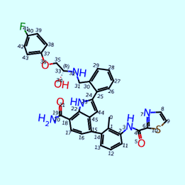 Cc1c(NC(=O)c2nccs2)cccc1-c1ccc(C(N)=O)c2[nH]c(-c3ccccc3CN[C@H](O)COc3ccc(F)cc3)cc12